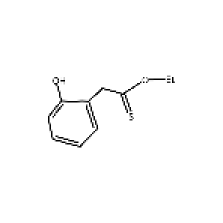 CCOC(=S)Cc1ccccc1O